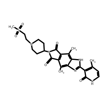 Cc1cc[nH]c(=O)c1-c1nc2c(C)c3c(c(C)c2[nH]1)C(=O)N(C1CCN(CCS(C)(=O)=O)CC1)C3=O